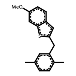 COc1ccc2cc(Cc3cc(C)ccc3C)sc2c1